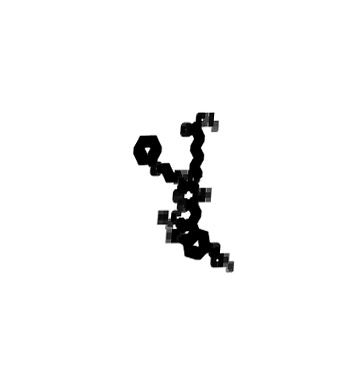 COc1ccc2[nH]c(C)c(CC(=O)N[C@@H](CCCCCC(C)=O)C(=O)NCCOc3ccccc3)c2c1